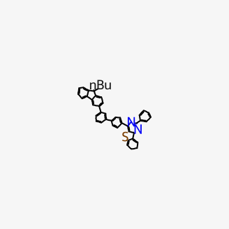 CCCCC1(C)c2ccccc2-c2cc(-c3cccc(-c4ccc(-c5nc(-c6ccccc6)nc6c7c(sc56)=CCCC=7)cc4)c3)ccc21